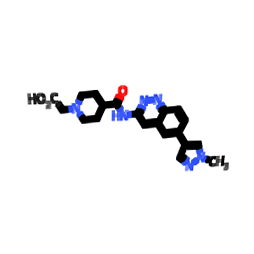 Cn1cc(-c2ccc3nnc(NC(=O)C4CCN(CC(=O)O)CC4)cc3c2)cn1